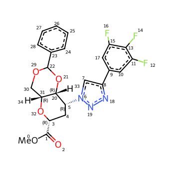 COC(=O)[C@H]1C[C@@H](n2cc(-c3cc(F)c(F)c(F)c3)nn2)[C@H]2OC(c3ccccc3)OC[C@H]2O1